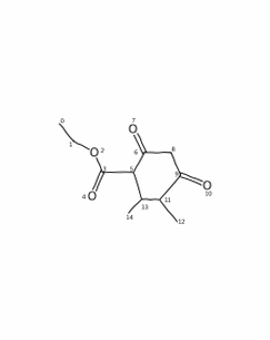 CCOC(=O)C1C(=O)CC(=O)C(C)C1C